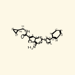 C[C@H](NC(=O)c1cc2nc(-n3cc(-c4ccccc4)cn3)nc(N)c2o1)C1CC1